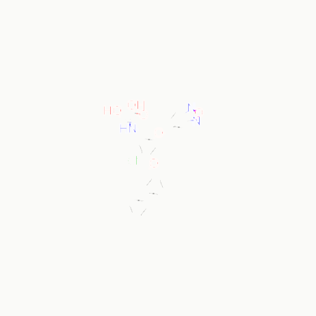 Cc1c(COc2cc(OCc3ccc4nonc4c3)c(CN[C@H](CO)C(=O)O)cc2Cl)cccc1-c1ccccc1